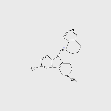 Cc1ccc2c(c1)c1c(n2/C=C2\CCCc3cnccc32)CCN(C)C1